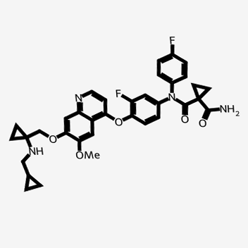 COc1cc2c(Oc3ccc(N(C(=O)C4(C(N)=O)CC4)c4ccc(F)cc4)cc3F)ccnc2cc1OCC1(NCC2CC2)CC1